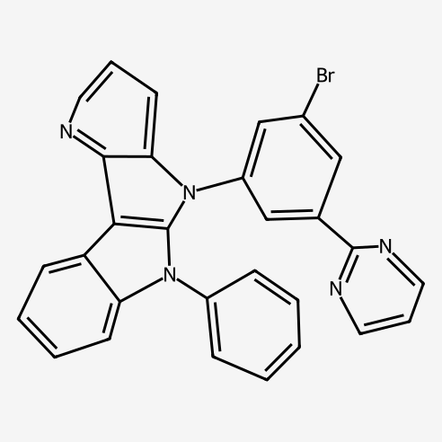 Brc1cc(-c2ncccn2)cc(-n2c3cccnc3c3c4ccccc4n(-c4ccccc4)c32)c1